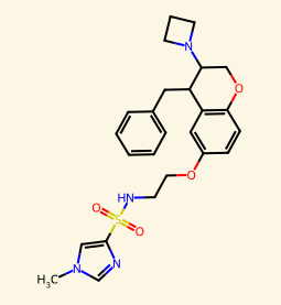 Cn1cnc(S(=O)(=O)NCCOc2ccc3c(c2)C(Cc2ccccc2)C(N2CCC2)CO3)c1